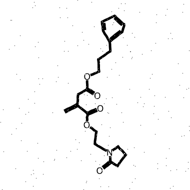 C=C(CC(=O)OCCCc1ccccc1)C(=O)OCCN1CCCC1=O